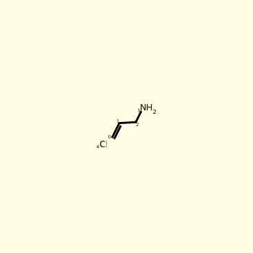 C=CCN.[C]